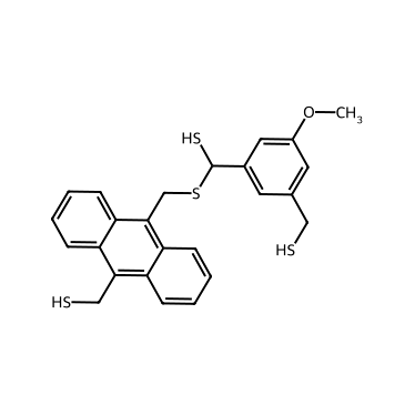 COc1cc(CS)cc(C(S)SCc2c3ccccc3c(CS)c3ccccc23)c1